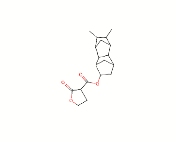 CC1C(C)C2CC1C1C3CC(OC(=O)C4CCOC4=O)C(C3)C21